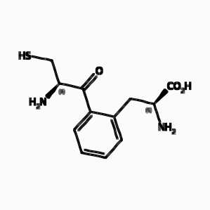 N[C@@H](Cc1ccccc1C(=O)[C@@H](N)CS)C(=O)O